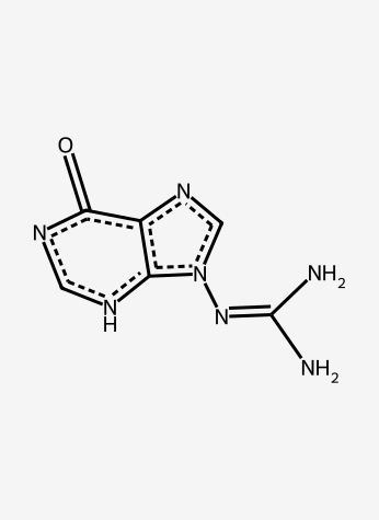 NC(N)=Nn1cnc2c(=O)nc[nH]c21